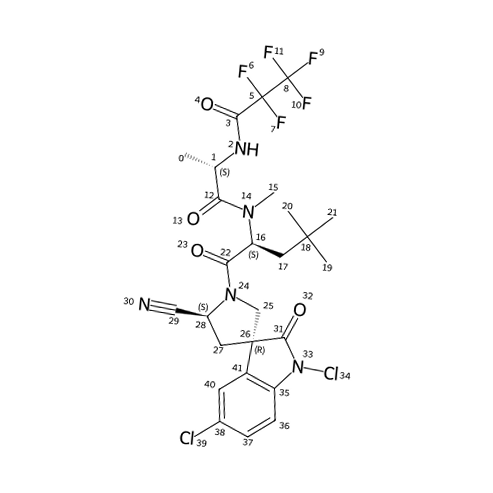 C[C@H](NC(=O)C(F)(F)C(F)(F)F)C(=O)N(C)[C@@H](CC(C)(C)C)C(=O)N1C[C@]2(C[C@H]1C#N)C(=O)N(Cl)c1ccc(Cl)cc12